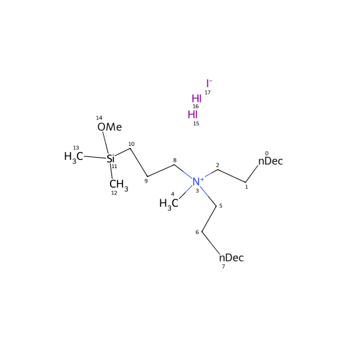 CCCCCCCCCCCC[N+](C)(CCCCCCCCCCCC)CCC[Si](C)(C)OC.I.I.[I-]